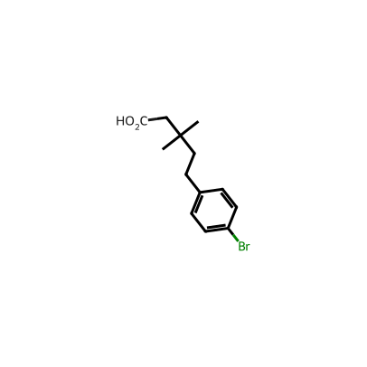 CC(C)(CCc1ccc(Br)cc1)CC(=O)O